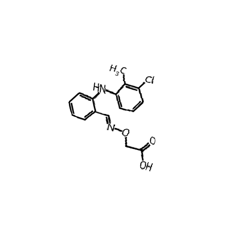 Cc1c(Cl)cccc1Nc1ccccc1C=NOCC(=O)O